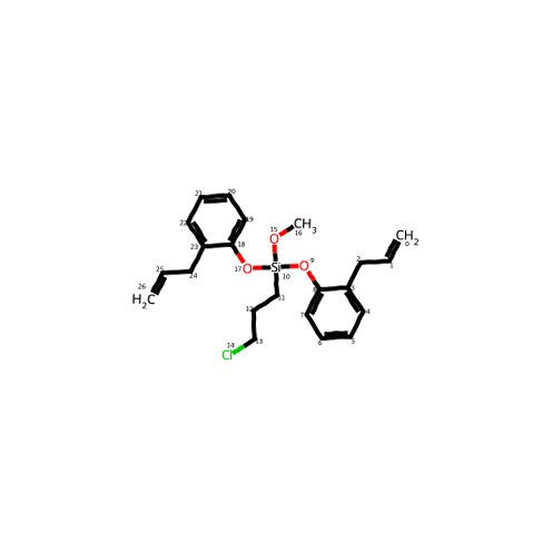 C=CCc1ccccc1O[Si](CCCCl)(OC)Oc1ccccc1CC=C